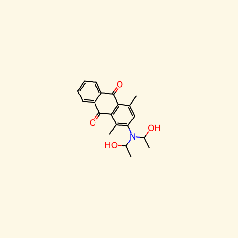 Cc1cc(N(C(C)O)C(C)O)c(C)c2c1C(=O)c1ccccc1C2=O